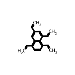 C=Cc1cc(C=C)c2c(C=C)ccc(C=C)c2c1